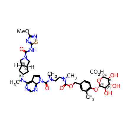 COc1nsc(NC(=O)N2C[C@H]3C[C@H](N(C)c4ncnc5c4ccn5C(=O)N(C)CCN(C)C(=O)OCc4ccc(O[C@@H]5O[C@H](C(=O)O)[C@@H](O)[C@H](O)[C@H]5O)c(C(F)(F)F)c4)C[C@H]3C2)n1